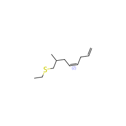 C=CC/C=C\CC(C)CSCC